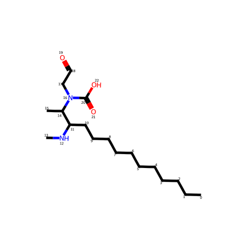 CCCCCCCCCCCC(NC)C(C)N(CC=O)C(=O)O